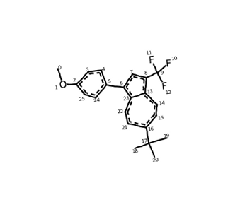 COc1ccc(-c2cc(C(F)(F)F)c3ccc(C(C)(C)C)ccc2-3)cc1